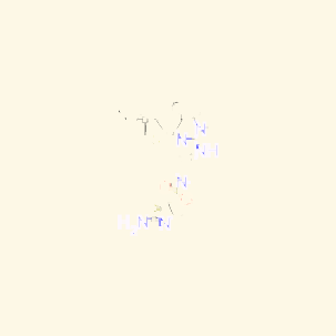 Cc1sc(-c2nc(NC3CCN(S(=O)(=O)c4cnc(N)s4)CC3)ncc2C(F)(F)F)cc1C#N